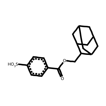 O=C(OCC1C2CC3CC(C2)CC1C3)c1ccc(S(=O)(=O)O)cc1